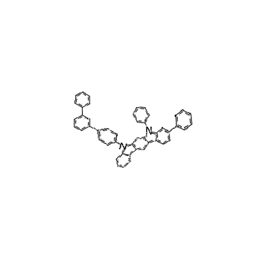 c1ccc(-c2cccc(-c3ccc(-n4c5ccccc5c5cc6c7ccc(-c8ccccc8)cc7n(-c7ccccc7)c6cc54)cc3)c2)cc1